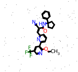 CCOc1ncc(C(F)(F)F)cc1-c1cccc(C=C(C#N)C(=O)NC2(c3ccccc3)CCCC2)n1